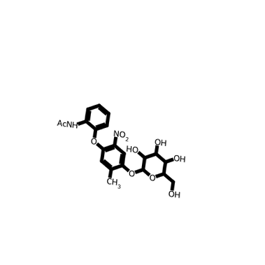 CC(=O)Nc1ccccc1Oc1cc(C)c(OC2OC(CO)C(O)C(O)C2O)cc1[N+](=O)[O-]